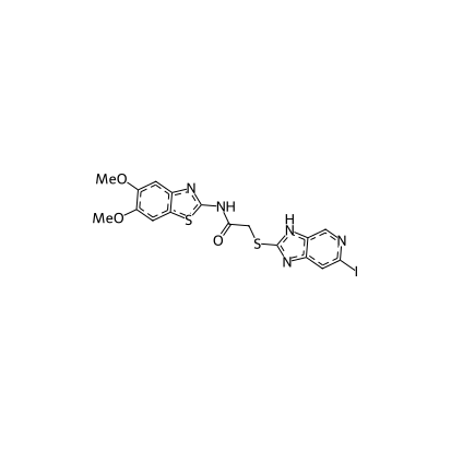 COc1cc2nc(NC(=O)CSc3nc4cc(I)ncc4[nH]3)sc2cc1OC